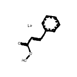 O=C(C=Cc1ccccc1)OO.[La]